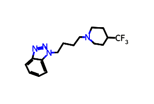 FC(F)(F)C1CCN(CCCCn2nnc3ccccc32)CC1